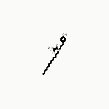 CCCCCCCCCCCCCCN(CCCc1ccc(O)cc1)C(=O)C(N)=O